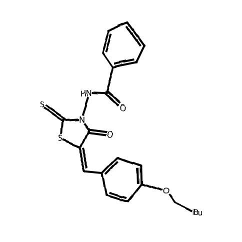 CCC(C)COc1ccc(C=C2SC(=S)N(NC(=O)c3ccccc3)C2=O)cc1